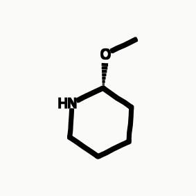 CO[C@@H]1CCCCN1